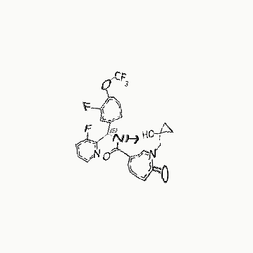 O=C(N[C@@H](c1ccc(OC(F)(F)F)c(F)c1)c1ncccc1F)c1ccc(=O)n(CC2(O)CC2)c1